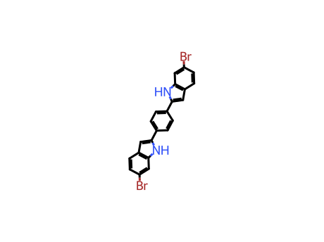 Brc1ccc2cc(-c3ccc(-c4cc5ccc(Br)cc5[nH]4)cc3)[nH]c2c1